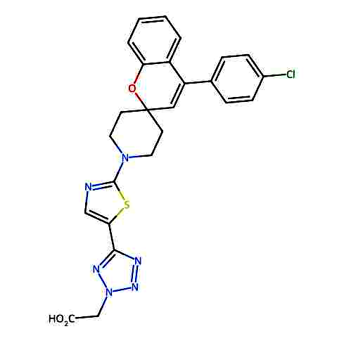 O=C(O)Cn1nnc(-c2cnc(N3CCC4(C=C(c5ccc(Cl)cc5)c5ccccc5O4)CC3)s2)n1